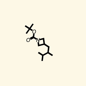 CC(C)C(C)CC1CN(C(=O)OC(C)(C)C)C1